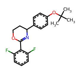 CC(C)(C)Oc1ccc(C2CCOC(c3c(F)cccc3F)=N2)cc1